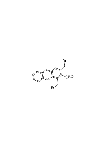 O=Cc1c(CBr)cc2cc3ccccc3cc2c1CBr